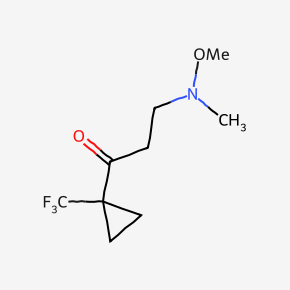 CON(C)CCC(=O)C1(C(F)(F)F)CC1